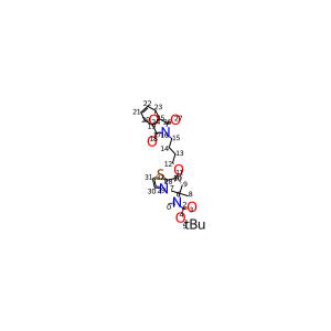 CN(C(=O)OC(C)(C)C)C(C)(C)C[C@@H](OCCCCN1C(=O)C2C3C=CC(O3)C2C1=O)c1nccs1